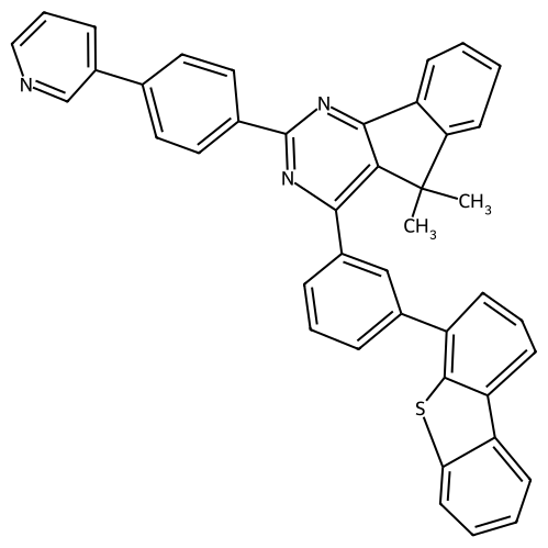 CC1(C)c2ccccc2-c2nc(-c3ccc(-c4cccnc4)cc3)nc(-c3cccc(-c4cccc5c4sc4ccccc45)c3)c21